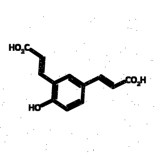 O=C(O)C=Cc1ccc(O)c(C=CC(=O)O)c1